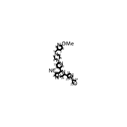 COc1ccc(CN2CCN(c3ccc(-c4nc(-c5cnn(C6COC6)c5)cn5ncc(C#N)c45)cn3)CC2)cn1